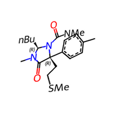 CCCC[C@@H]1N(C)C(=O)[C@@](CCSC)(c2ccc(C)cc2)N1C(=O)NC